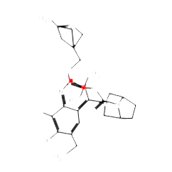 CCc1cc2c(N3CC4CCC(C3)N4C(=O)OC(C)(C)C)nc(OCC34COC(C)(C3)C4)nc2c(F)c1Br